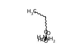 CCCCCCCC/C=C\CCCCCCCCOC(=O)CCC(N)(N)C(=O)O